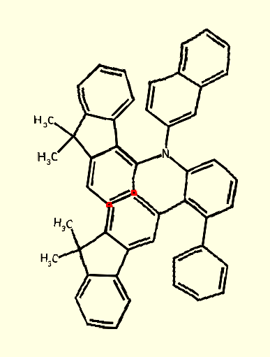 CC1(C)c2ccccc2-c2cc(-c3c(-c4ccccc4)cccc3N(c3ccc4ccccc4c3)c3cccc4c3-c3ccccc3C4(C)C)ccc21